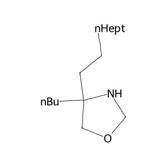 CCCCCCCCCC1(CCCC)COCN1